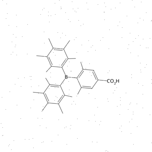 Cc1cc(C(=O)O)cc(C)c1B(c1c(C)c(C)c(C)c(C)c1C)c1c(C)c(C)c(C)c(C)c1C